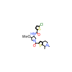 COC1CN(C(=O)c2cc3c(s2)C(C)N(C)CC3)CC1NC(=O)c1ccc(Cl)s1